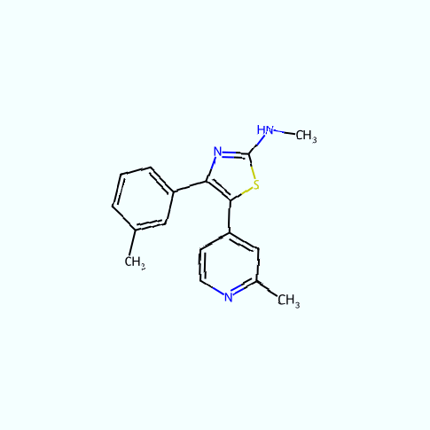 CNc1nc(-c2cccc(C)c2)c(-c2ccnc(C)c2)s1